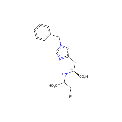 CC(C)CC(N[C@@H](Cc1cn(Cc2ccccc2)cn1)C(=O)O)C(=O)O